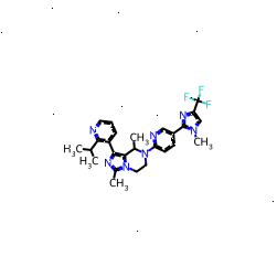 Cc1nc(-c2cccnc2C(C)C)c2n1CCN(c1ccc(-c3nc(C(F)(F)F)cn3C)cn1)C2C